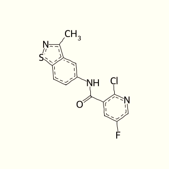 Cc1nsc2ccc(NC(=O)c3cc(F)cnc3Cl)cc12